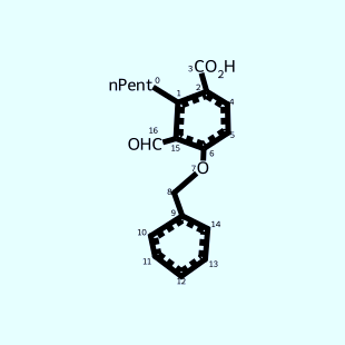 CCCCCc1c(C(=O)O)ccc(OCc2ccccc2)c1C=O